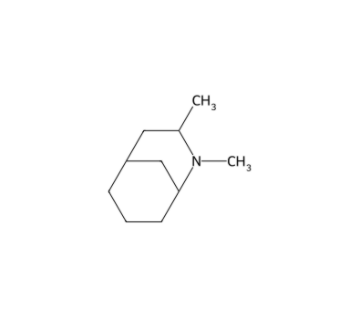 CC1CC2CCCC(C2)N1C